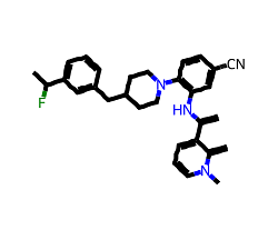 C=C(Nc1cc(C#N)ccc1N1CCC(Cc2cccc(C(C)F)c2)CC1)C1=CC=CN(C)C1=C